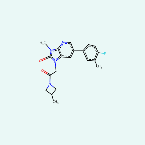 Cc1cc(-c2cnc3c(c2)n(CC(=O)N2CC(C)C2)c(=O)n3C)ccc1F